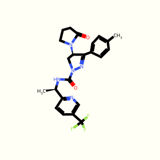 Cc1ccc(C2=NN(C(=O)N[C@H](C)c3ccc(C(F)(F)F)cn3)C[C@H]2N2CCCC2=O)cc1